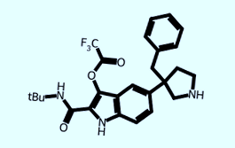 CC(C)(C)NC(=O)c1[nH]c2ccc(C3(Cc4ccccc4)CCNC3)cc2c1OC(=O)C(F)(F)F